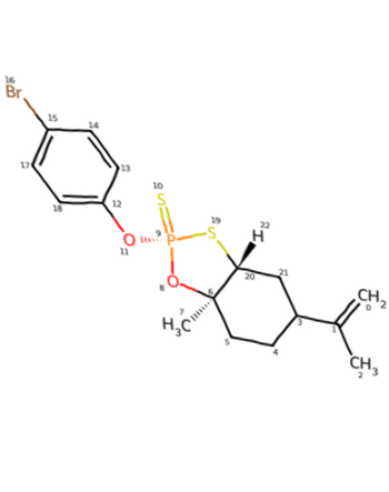 C=C(C)C1CC[C@@]2(C)O[P@](=S)(Oc3ccc(Br)cc3)S[C@@H]2C1